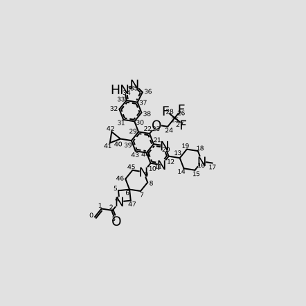 C=CC(=O)N1CC2(CCN(c3nc(C4CCN(C)CC4)nc4c(OCC(F)(F)F)c(-c5ccc6[nH]ncc6c5)c(C5CC5)cc34)CC2)C1